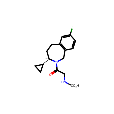 O=C(O)NCC(=O)N1Cc2ccc(F)cc2CC[C@H]1C1CC1